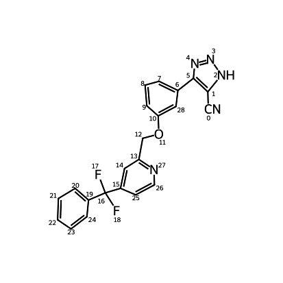 N#Cc1[nH]nnc1-c1cccc(OCc2cc(C(F)(F)c3ccccc3)ccn2)c1